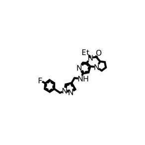 CCN1C(=O)C2CCCN2c2cc(NCc3cnn(Cc4ccc(F)cc4)c3)ncc21